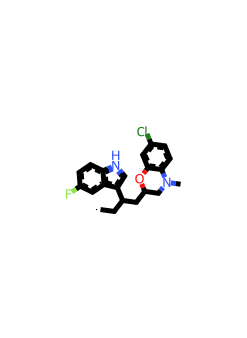 [CH2]CC(CC1CN(C)c2ccc(Cl)cc2O1)c1c[nH]c2ccc(F)cc12